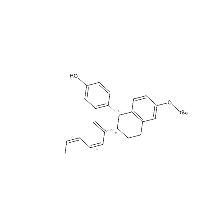 C=C(/C=C\C=C/C)[C@H]1CCc2cc(OC(C)(C)C)ccc2[C@H]1c1ccc(O)cc1